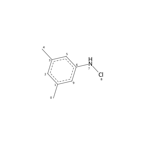 Cc1cc(C)cc(NCl)c1